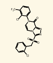 O=c1c2nnc(S(=O)(=O)Cc3ccccc3Cl)n2ccn1-c1cccc(C(F)(F)F)c1Cl